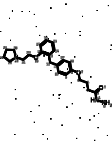 NNC(=O)CCCOc1ccc(Cc2[c]cccc2OCCN2CCCC2)cc1